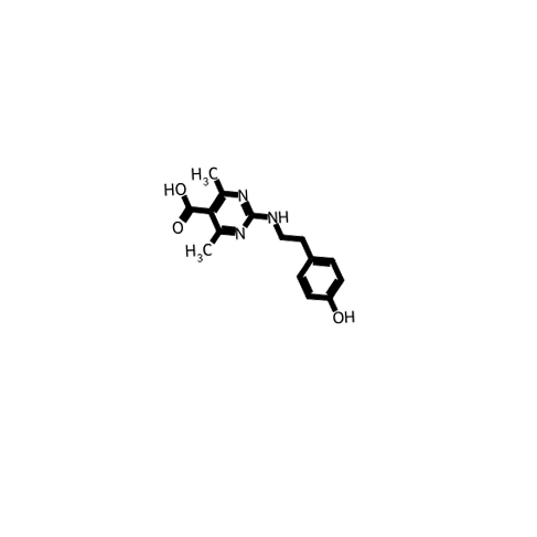 Cc1nc(NCCc2ccc(O)cc2)nc(C)c1C(=O)O